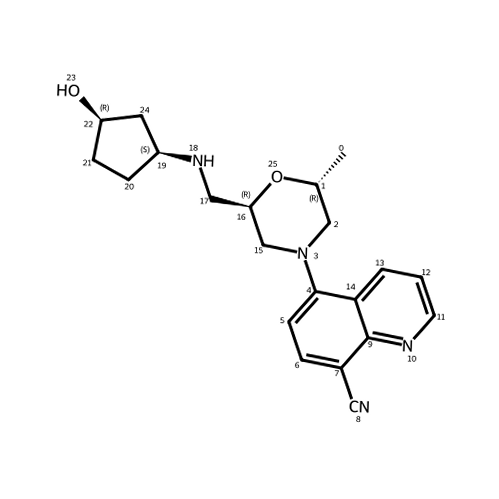 C[C@@H]1CN(c2ccc(C#N)c3ncccc23)C[C@@H](CN[C@H]2CC[C@@H](O)C2)O1